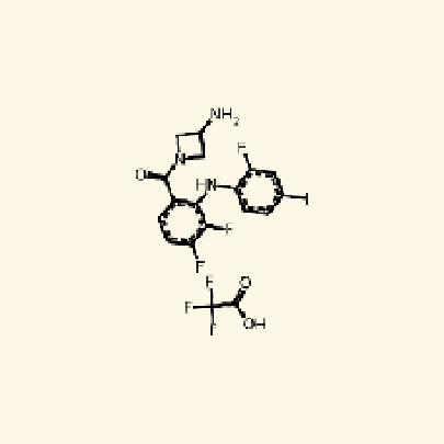 NC1CN(C(=O)c2ccc(F)c(F)c2Nc2ccc(I)cc2F)C1.O=C(O)C(F)(F)F